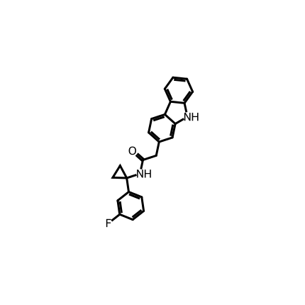 O=C(Cc1ccc2c(c1)[nH]c1ccccc12)NC1(c2cccc(F)c2)CC1